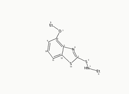 CCNSc1nc2c(OCC)cccc2s1